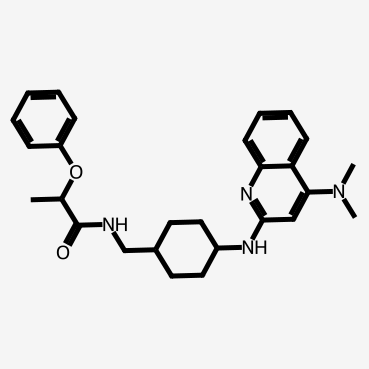 CC(Oc1ccccc1)C(=O)NCC1CCC(Nc2cc(N(C)C)c3ccccc3n2)CC1